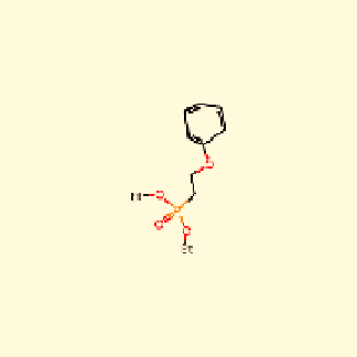 CCOP(=O)(CCOc1cc[c]cc1)OCC